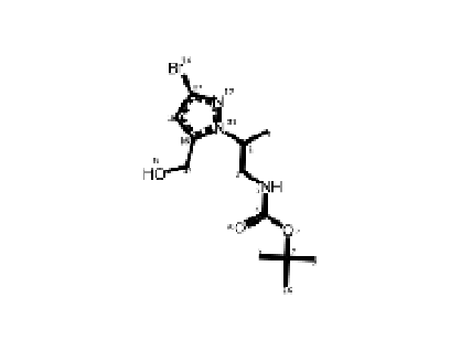 CC(CNC(=O)OC(C)(C)C)n1nc(Br)cc1CO